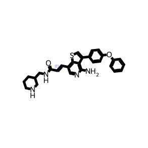 Nc1ncc(/C=C/C(=O)NCC2CCCNC2)c2scc(-c3ccc(Oc4ccccc4)cc3)c12